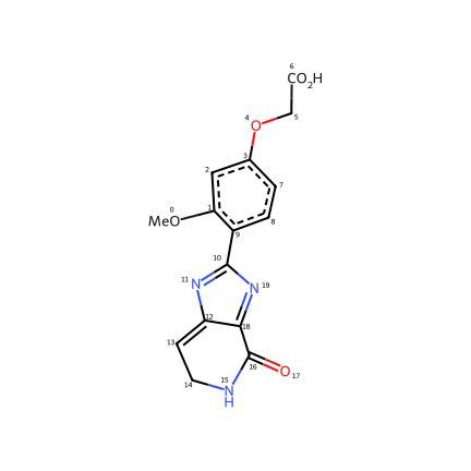 COc1cc(OCC(=O)O)ccc1C1=NC2=CCNC(=O)C2=N1